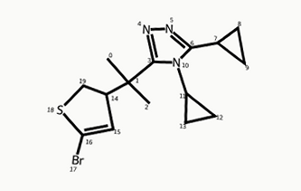 CC(C)(c1nnc(C2CC2)n1C1CC1)C1C=C(Br)SC1